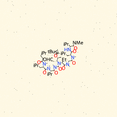 CC[C@@H](C(=O)N(C)[C@H](C)C(=O)N(C)[C@@H](CC(C)C)C(=O)N[C@H](C(=O)NC)C(C)C)N(C(=O)N(C)C(=O)[C@H](C(C)C)N(C)C(=O)C(CC(C)C)N(C)C(=O)CCC(C)C)[C@H](CC=O)[C@H](C)O[Si](C)(C)C(C)(C)C